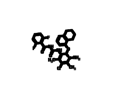 CC1=C(NC(=O)NC(=O)c2c(F)cccc2F)C(Oc2cccc3c2CCCC3)N(N)C(C)=C1Cl